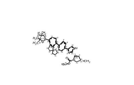 C[C@H]1C[C@@H](c2nc(-c3ccc(-c4ccc(B5OC(C)(C)C(C)(C)O5)c5c4C4(CCCC4)CC5)cc3)c[nH]2)N(C(=O)OC(C)(C)C)C1